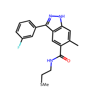 CSCCNC(=O)c1cc2c(-c3cccc(F)c3)n[nH]c2cc1C